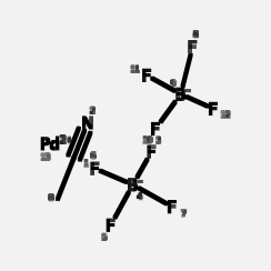 CC#N.F[B-](F)(F)F.F[B-](F)(F)F.[Pd+2]